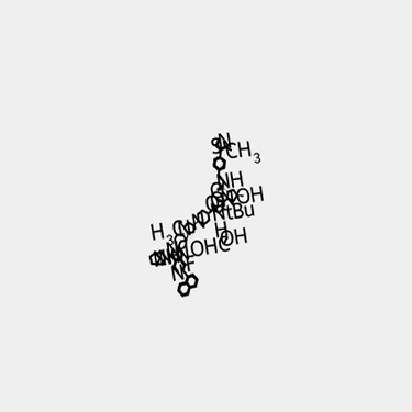 Cc1ncsc1-c1ccc(CNC(=O)[C@@H]2C[C@@H](O)CN2C(=O)C(NC(=O)C2CCN([C@H]3C[C@@H](COc4nc(N5CC6CCC(C5)N6)c5cnc(-c6cccc7ccccc67)c(F)c5n4)N(C)C3)CC2)C(C)(C)C)cc1.O=CO